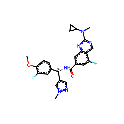 COc1ccc([C@H](NC(=O)c2cc(F)c3cnc(N(C)C4CC4)nc3c2)c2cnn(C)c2)cc1F